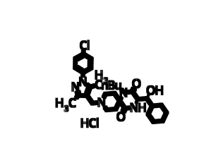 CCCCN1C(=O)[C@@H]([C@H](O)C2CCCCC2)NC(=O)C12CCN(Cc1c(C)nn(-c3ccc(Cl)cc3)c1C)CC2.Cl